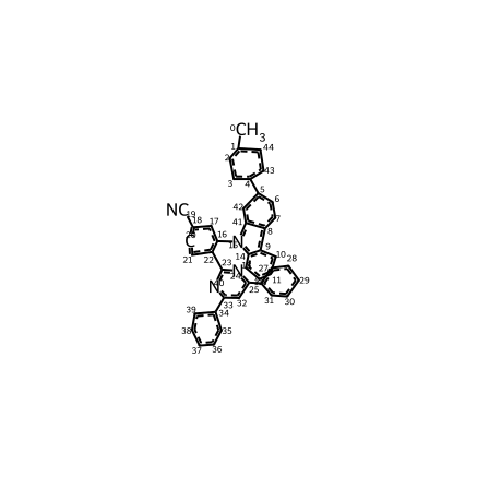 Cc1ccc(-c2ccc3c4ccccc4n(-c4cc(C#N)ccc4-c4nc(-c5ccccc5)cc(-c5ccccc5)n4)c3c2)cc1